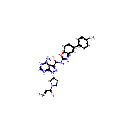 C=CC(=O)N1CC[C@@H](n2nc(C(=O)Nc3nc4cc(-c5ccc(C)cc5)ccc4o3)c3c(N)ncnc32)C1